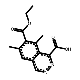 CCOC(=O)c1c(C)cc2cnnc(C(=O)O)c2c1C